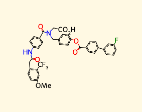 COc1ccc(CC(=O)Nc2ccc(C(=O)N(CC(=O)O)Cc3ccc(OC(=O)c4ccc(-c5cccc(F)c5)cc4)cc3)cc2)c(C(F)(F)F)c1